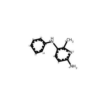 Cc1nc(N)ccc1Nc1ccccc1